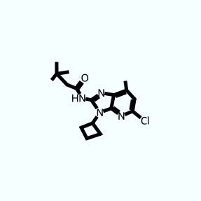 Cc1cc(Cl)nc2c1nc(NC(=O)CC(C)(C)C)n2C1CCC1